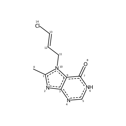 Cc1nc2nc[nH]c(=O)c2n1CC=CCl